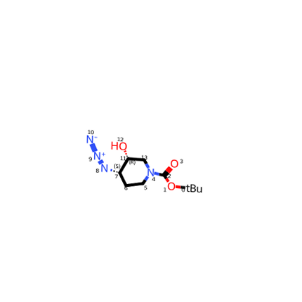 CC(C)(C)OC(=O)N1CC[C@H](N=[N+]=[N-])[C@H](O)C1